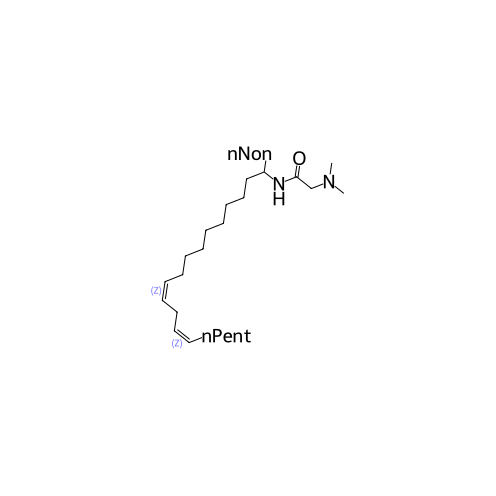 CCCCC/C=C\C/C=C\CCCCCCCCC(CCCCCCCCC)NC(=O)CN(C)C